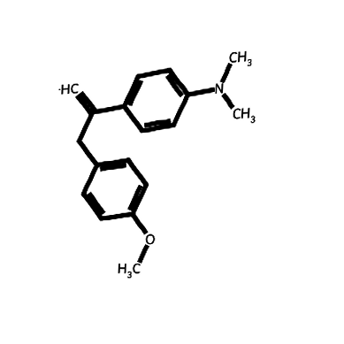 [CH]=C(Cc1ccc(OC)cc1)c1ccc(N(C)C)cc1